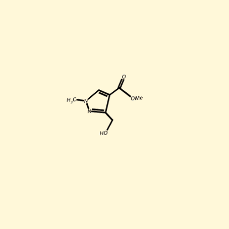 COC(=O)c1cn(C)nc1CO